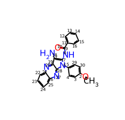 COc1ccc(-n2c(NC(=O)c3ccccc3)c(N)c3nc4ccccc4nc32)cc1